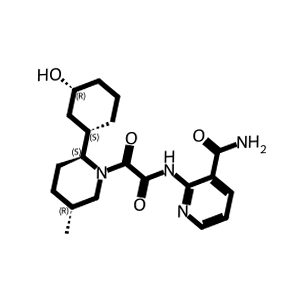 C[C@@H]1CC[C@@H]([C@H]2CCC[C@@H](O)C2)N(C(=O)C(=O)Nc2ncccc2C(N)=O)C1